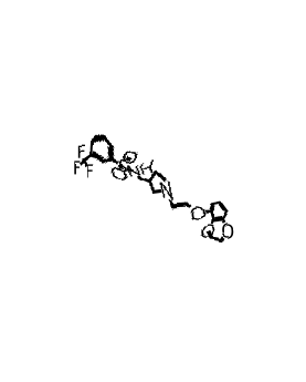 O=S(=O)(NCC1CCN(CCOc2cccc3c2OCCO3)C1)c1cccc(C(F)(F)F)c1